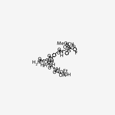 CCC(CO)OC(O)COC(=O)NCCC(=O)N[C@H](C(=O)N[C@@H](CCCNC(N)=O)C(=O)Nc1ccc(COC(=O)NCCC[C@@]2(c3ccccc3)SC(c3cc(F)ccc3F)=NN2C(=O)N(C)OC)cc1)C(C)C